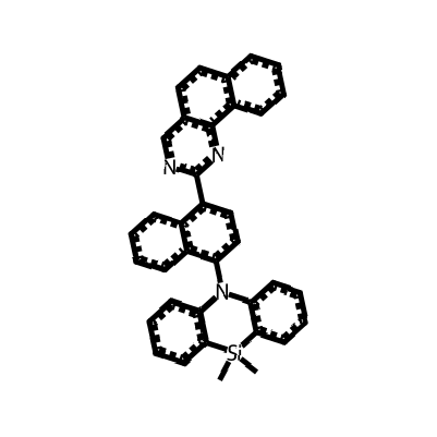 C[Si]1(C)c2ccccc2N(c2ccc(-c3ncc4ccc5ccccc5c4n3)c3ccccc23)c2ccccc21